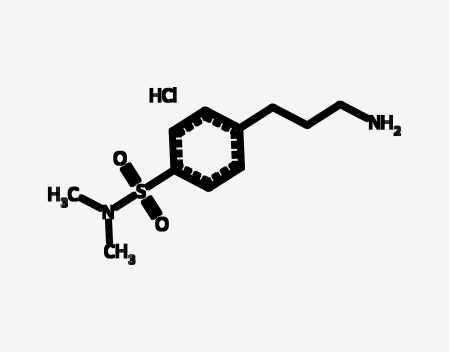 CN(C)S(=O)(=O)c1ccc(CCCN)cc1.Cl